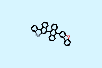 CCc1ccccc1-c1c(CC)cc(-c2c3ccccc3c(-c3ccc4oc5ccccc5c4c3)c3ccccc23)c2ccccc12